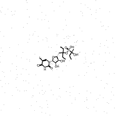 CCC(CC)(C[C@H]1O[C@@H](n2cc(I)c(=O)[nH]c2=O)[C@H](O)[C@@H]1O)OP(=O)(O)C(C)(O)CC